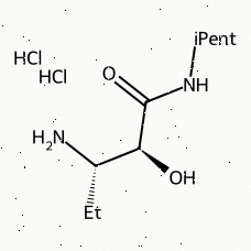 CCCC(C)NC(=O)[C@@H](O)[C@@H](N)CC.Cl.Cl